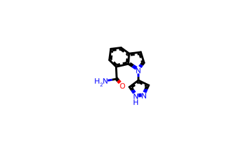 NC(=O)c1cccc2ccn(-c3cn[nH]c3)c12